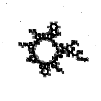 CCCCCCC[C@@H](O)CC(=O)N[C@H](CCN)C(=O)N[C@H]1CCNC(=O)[C@H](Cc2c[nH]c3ccccc23)NC(=O)[C@H](CCN)NC(=O)[C@H](CCN)NC(=O)[C@H](CC(C)C)NC(=O)C(C2CCCCC2)NC(=O)[C@H](CCN)NC1=O